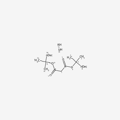 CCCCCCCCCCC(C)(C)OC(=O)CC(=O)OC(C)(C)CCCCCCCCCC.[KH].[LiH]